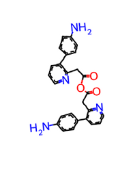 Nc1ccc(-c2cccnc2CC(=O)OC(=O)Cc2ncccc2-c2ccc(N)cc2)cc1